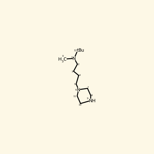 CN(CCCCN1CCNCC1)C(C)(C)C